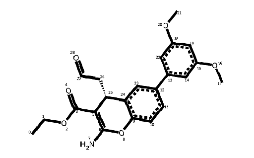 CCOC(=O)C1=C(N)Oc2ccc(-c3cc(OC)cc(OC)c3)cc2[C@H]1CC=O